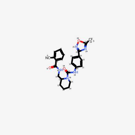 N#Cc1ccccc1C(=O)NCC1CCCCN1C(=O)Nc1ccc(-c2noc(C(F)(F)F)n2)cc1